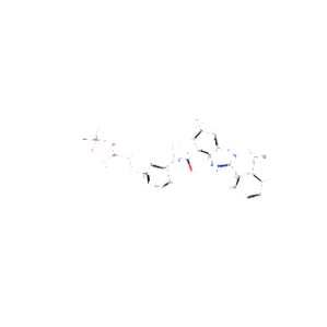 CC1(C)OCC(COc2cccc(NC(=O)c3cc(F)cc4[nH]c(-c5ccccc5C(F)F)nc34)c2)O1